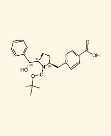 CC(C)(C)OON1[C@H](Cc2ccc(C(=O)O)cc2)CC[C@@H]1[C@H](O)c1ccccc1